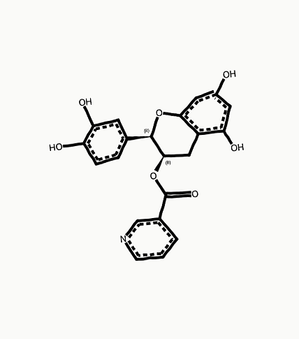 O=C(O[C@@H]1Cc2c(O)cc(O)cc2O[C@@H]1c1ccc(O)c(O)c1)c1cccnc1